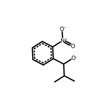 CC(C)C([O])c1ccccc1[N+](=O)[O-]